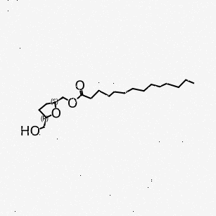 CCCCCCCCCCCCCC(=O)OC[C@@H]1CC[C@H](CO)O1